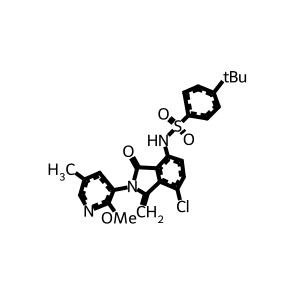 C=C1c2c(Cl)ccc(NS(=O)(=O)c3ccc(C(C)(C)C)cc3)c2C(=O)N1c1cc(C)cnc1OC